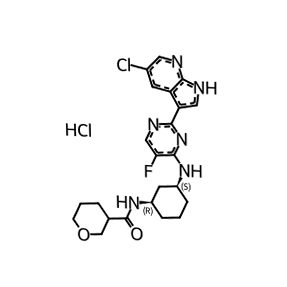 Cl.O=C(N[C@@H]1CCC[C@H](Nc2nc(-c3c[nH]c4ncc(Cl)cc34)ncc2F)C1)C1CCCOC1